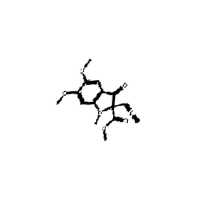 C=C=CC1(C(=O)OC)C(=O)c2cc(OC)c(OC)cc2N1C